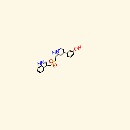 O=S(=O)(CCC1CC(c2cccc(O)c2)=CCN1)Cc1c[nH]c2ccccc12